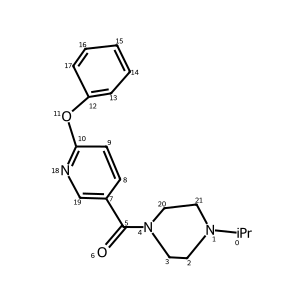 CC(C)N1CCN(C(=O)c2ccc(Oc3ccccc3)nc2)CC1